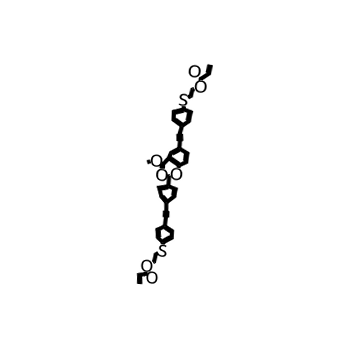 C=CC(=O)OCCSc1ccc(C#Cc2ccc(COc3ccc(C#Cc4ccc(SCCOC(=O)C=C)cc4)cc3C(=O)OC)cc2)cc1